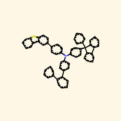 c1ccc(-c2ccccc2-c2ccc(N(c3ccc(-c4ccc5sc6ccccc6c5c4)cc3)c3ccc(C4(c5ccccc5)c5ccccc5-c5ccccc54)cc3)cc2)cc1